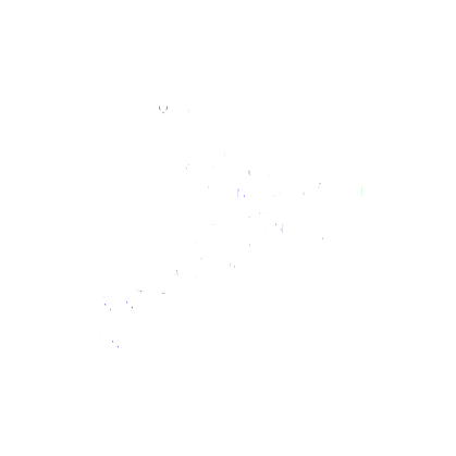 COc1ccc(C(=O)N2CCc3c([nH]c4ccc(Cl)cc34)C2c2ccc(OCCCn3cncn3)cc2)cc1